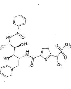 C[C@H](NC(=O)c1ccccc1)[C@@H](O)[C@H](O)[C@@H](Cc1ccccc1)NC(=O)c1csc(N(C)S(C)(=O)=O)n1